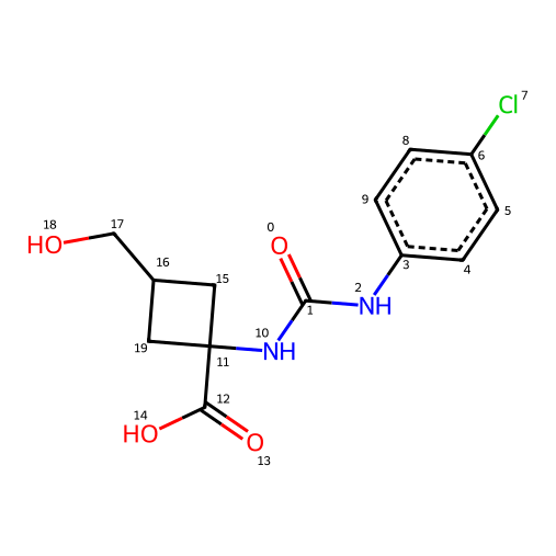 O=C(Nc1ccc(Cl)cc1)NC1(C(=O)O)CC(CO)C1